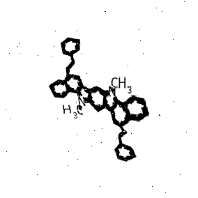 Cn1c2cc3c4cc(/C=C/c5ccccc5)c5ccccc5c4n(C)c3cc2c2cc(/C=C/c3ccccc3)c3ccccc3c21